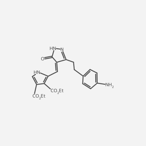 CCOC(=O)c1c[nH]c(C=C2C(=O)NN=C2CCc2ccc(N)cc2)c1C(=O)OCC